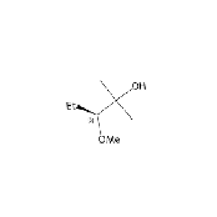 CC[C@H](OC)C(C)(C)O